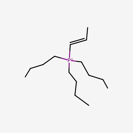 CC=C[P+](CCCC)(CCCC)CCCC